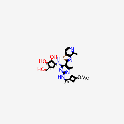 COC1CC([C@@H](C)Nc2nc(C)c(-c3nc4c(C)nccc4s3)c(N[C@@H]3C[C@H](CO)[C@@H](O)[C@H]3O)n2)C1